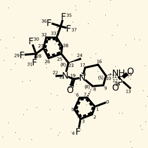 Cc1cc(F)ccc1[C@H]1C[C@@H](NS(C)(=O)=O)CCN1C(=O)N(C)[C@H](C)c1cc(C(F)(F)F)cc(C(F)(F)F)c1